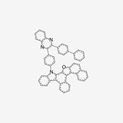 c1ccc(-c2ccc(-c3nc4ccccc4nc3-c3ccc(-n4c5ccccc5c5c6ccccc6c6c(oc7ccc8ccccc8c76)c54)cc3)cc2)cc1